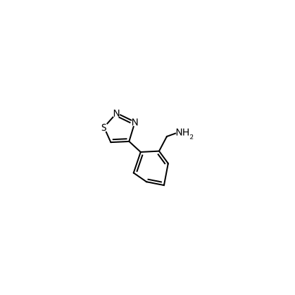 NCc1ccccc1-c1csnn1